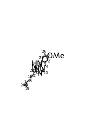 COc1cc(C)c(Nc2nc(C)nc3c(CCCCC4CC4)cnn23)cc1C